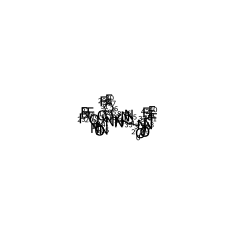 COC[C@H](c1cnn2cc(C(NC(=O)c3nonc3OCC(F)(F)F)=C3CCC(F)(F)CC3)nc2c1)N1CC(C(F)(F)F)=NC1=O